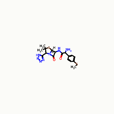 CSc1ccc(C(N)C(=O)NC2C(=O)N3C(c4nnn[nH]4)C(C)(C)S[C@@H]23)cc1